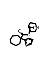 O=C(OC1CN2CCC1CC2)C1(c2cccs2)CCCCCC1